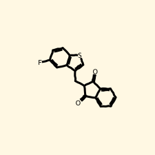 O=C1c2ccccc2C(=O)C1Cc1csc2ccc(F)cc12